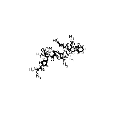 C#CCCCON(C(=O)[C@@H](NC(=O)[C@H]1CCCCN1C)[C@@H](C)CC)[C@H](C[C@@H](OC(C)=O)c1nc(C(=O)N[C@@H](Cc2ccc(NC(=O)[C@H](C)N)cc2)CC(C)(C)C(=O)O)cs1)C(C)C